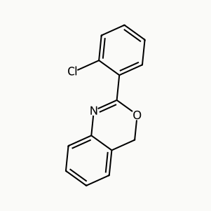 Clc1ccccc1C1=Nc2ccccc2CO1